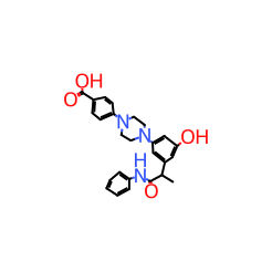 CC(C(=O)Nc1ccccc1)c1cc(O)cc(N2CCN(c3ccc(C(=O)O)cc3)CC2)c1